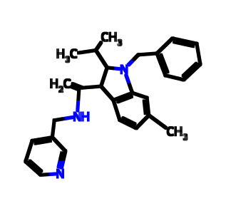 C=C(NCc1cccnc1)C1c2ccc(C)cc2N(Cc2ccccc2)C1C(C)C